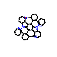 N#Cc1cccc(C#N)c1-c1c2c3ccccc3n(-c3ccccc3)c2c(-c2c(C#N)cccc2C#N)c2c3ccccc3n(-c3ccccc3)c12